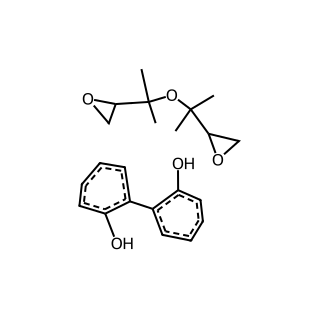 CC(C)(OC(C)(C)C1CO1)C1CO1.Oc1ccccc1-c1ccccc1O